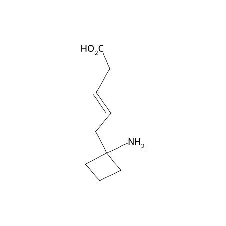 NC1(C/C=C/CC(=O)O)CCC1